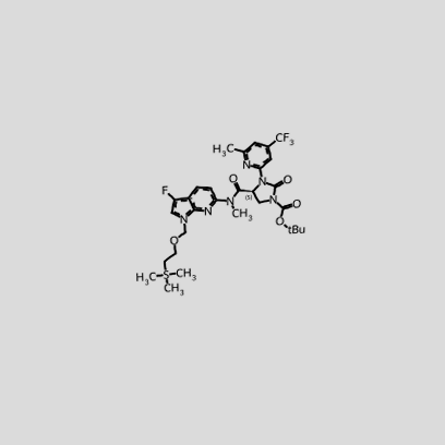 Cc1cc(C(F)(F)F)cc(N2C(=O)N(C(=O)OC(C)(C)C)C[C@H]2C(=O)N(C)c2ccc3c(F)cn(COCCS(C)(C)C)c3n2)n1